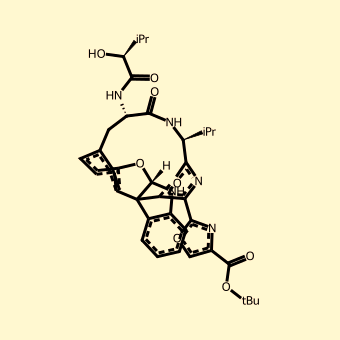 CC(C)[C@H](O)C(=O)N[C@H]1Cc2ccc3c(c2)C2(c4ccccc4N[C@H]2O3)c2oc(nc2-c2nc(C(=O)OC(C)(C)C)co2)[C@H](C(C)C)NC1=O